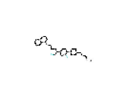 C=CCCc1ccc(-c2ccc(C(CF)CCCCc3cccc4ccccc34)cc2F)cc1